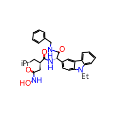 CCn1c2ccccc2c2cc([C@H](NC(=O)[C@@H](CC(=O)NO)CC(C)C)C(=O)NCc3ccccc3)ccc21